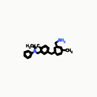 CCN(Cc1cc(CC2=CC(CN)=C=C(C)C=C2)ccc1C)c1ccccc1